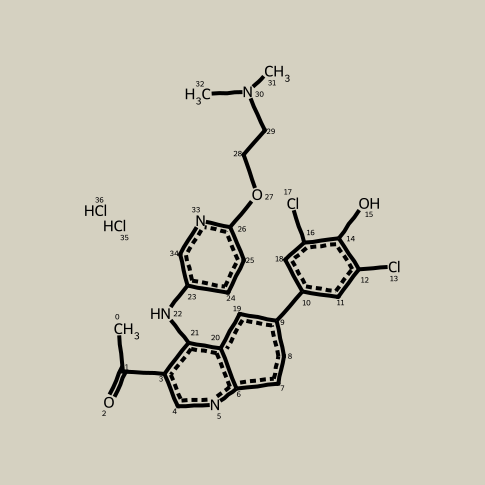 CC(=O)c1cnc2ccc(-c3cc(Cl)c(O)c(Cl)c3)cc2c1Nc1ccc(OCCN(C)C)nc1.Cl.Cl